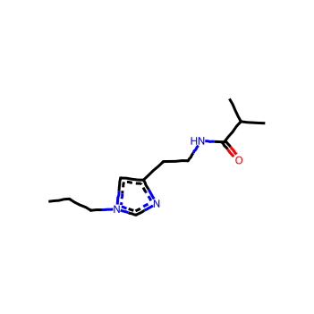 CCCn1cnc(CCNC(=O)C(C)C)c1